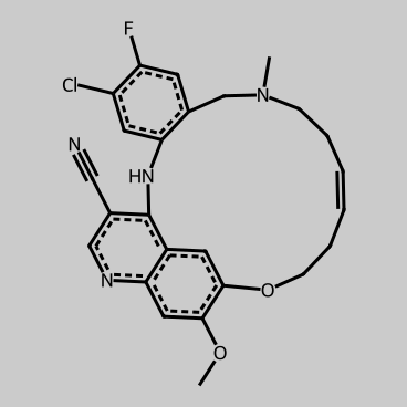 COc1cc2ncc(C#N)c3c2cc1OCC/C=C\CCN(C)Cc1cc(F)c(Cl)cc1N3